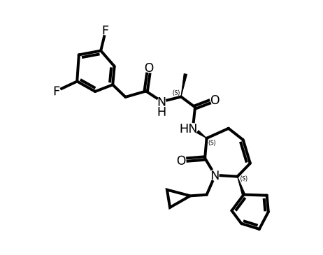 C[C@H](NC(=O)Cc1cc(F)cc(F)c1)C(=O)N[C@H]1CC=C[C@@H](c2ccccc2)N(CC2CC2)C1=O